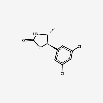 C[C@H]1NC(=O)O[C@@H]1c1cc(Cl)cc(Cl)c1